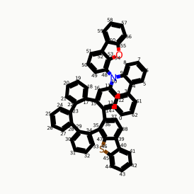 c1ccc(-c2ccccc2N(c2ccc3c(c2)c2ccccc2c2ccccc2c2ccccc2c2c3ccc3c4ccccc4sc32)c2cccc3c2oc2ccccc23)cc1